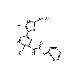 CC(=O)Nc1nc(C)c(-c2cnc(Cl)c(NC(=O)Cc3ccccc3)c2)s1